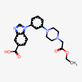 CCOC(=O)CN1CCN(c2cccc(-n3cnc4cc(C(=O)O)ccc43)c2)CC1